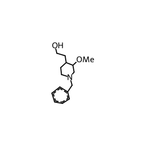 COC1CN(Cc2ccccc2)CCC1CCO